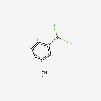 N#Cc1cccc(C(F)F)c1